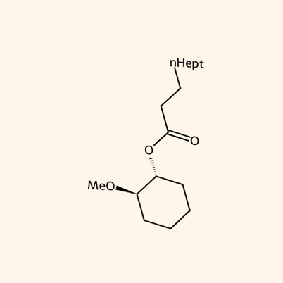 CCCCCCCCCC(=O)O[C@@H]1CCCC[C@H]1OC